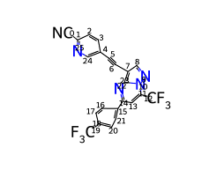 N#Cc1ccc(C#Cc2cnn3c(C(F)(F)F)cc(-c4ccc(C(F)(F)F)cc4)nc23)cn1